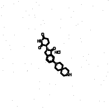 Cl.O=C1CC[C@@H](N2Cc3ccc(N4CCC5(CCNCC5)CC4)cc3C2=O)C(=O)N1